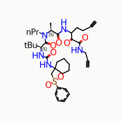 C#CCCC(NC(=O)[C@H](C)N(CCC)C(=O)[C@@H](NC(=O)NC1(CS(=O)(=O)c2ccccc2)CCCCC1)C(C)(C)C)C(=O)C(=O)NCC#C